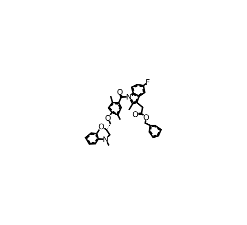 Cc1cc(C(=O)n2c(C)c(CC(=O)OCc3ccccc3)c3cc(F)ccc32)c(C)cc1OC[C@@H]1CN(C)c2ccccc2O1